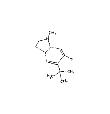 CN1CCc2cc(C(C)(C)C)c(F)cc21